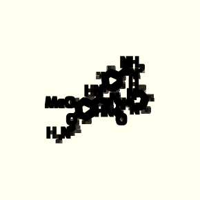 COc1cc(C(Nc2ccc(C(=N)N)cc2)c2nn(-c3ncccn3)c(=O)[nH]2)ccc1OCN